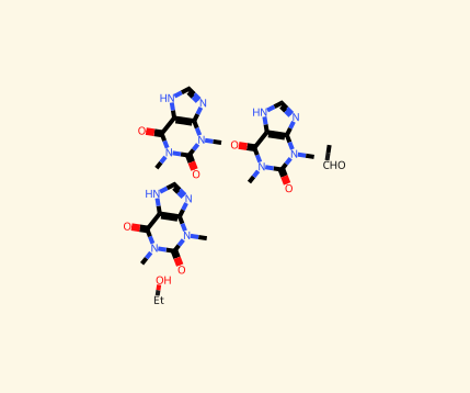 CC=O.CCO.Cn1c(=O)c2[nH]cnc2n(C)c1=O.Cn1c(=O)c2[nH]cnc2n(C)c1=O.Cn1c(=O)c2[nH]cnc2n(C)c1=O